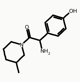 CC1CCCN(C(=O)C(N)c2ccc(O)cc2)C1